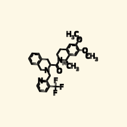 COc1cc2c(cc1OC)[C@@H](C)N(C(=O)C1Cc3ccccc3CN1Cc1ncccc1C(F)(F)F)CC2